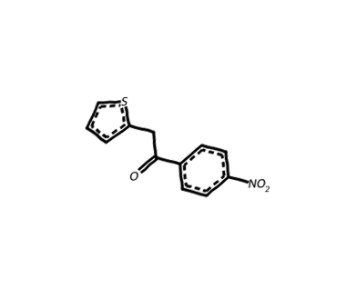 O=C(Cc1cccs1)c1ccc([N+](=O)[O-])cc1